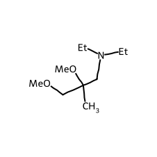 CCN(CC)CC(C)(COC)OC